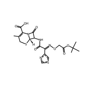 CC1=C(C(=O)O)N2C(=O)C(NC(=O)C(=NOCC(=O)OC(C)(C)C)c3cscn3)[C@@H]2SC1